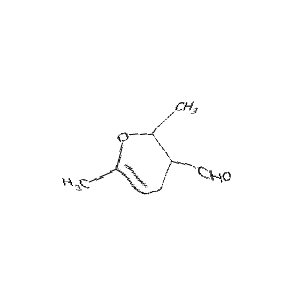 CC1=CC(C=O)C(C)O1